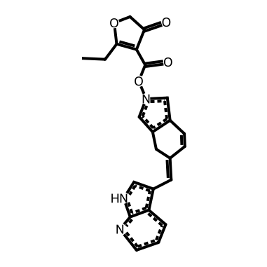 CCC1=C(C(=O)On2cc3c(c2)CC(=Cc2c[nH]c4ncccc24)C=C3)C(=O)CO1